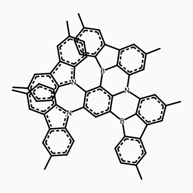 Cc1ccc2c(c1)-c1cc(C)cc3c1B2c1cc(-n2c4ccc(C)cc4c4cc(C)ccc42)c(-n2c4ccc(C)cc4c4cc(C)ccc42)c2c1N3c1cc(C)cc3c1B2c1ccc(C)cc1-3